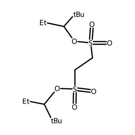 CCC(OS(=O)(=O)CCS(=O)(=O)OC(CC)C(C)(C)C)C(C)(C)C